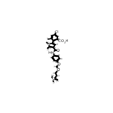 Cc1cc(Cl)cc(C(=O)O)c1-c1cc(C(=O)Nc2ccc(OCOCC[Si](C)(C)C)cc2)c(C)n1C